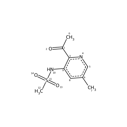 CC(=O)c1ncc(C)cc1NS(C)(=O)=O